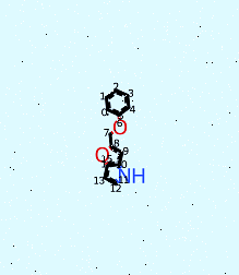 [c]1ccccc1OCc1cc2[nH]ccc2o1